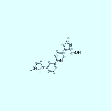 Cn1cc(-c2cccc(-c3ncc(-c4cn(C)nc4CO)cn3)c2)cn1